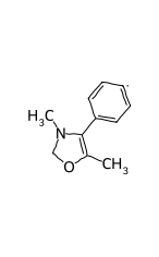 CC1=C(c2cc[c]cc2)N(C)CO1